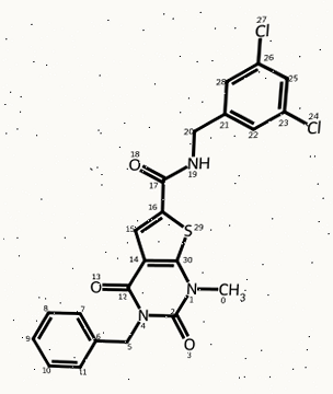 Cn1c(=O)n(Cc2ccccc2)c(=O)c2cc(C(=O)NCc3cc(Cl)cc(Cl)c3)sc21